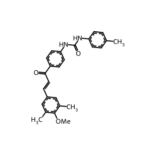 COc1c(C)cc(/C=C/C(=O)c2ccc(NC(=O)Nc3ccc(C)cc3)cc2)cc1C